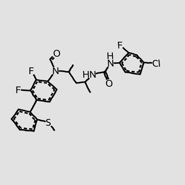 CSc1ccccc1-c1ccc(N(C=O)C(C)CC(C)NC(=O)Nc2ccc(Cl)cc2F)c(F)c1F